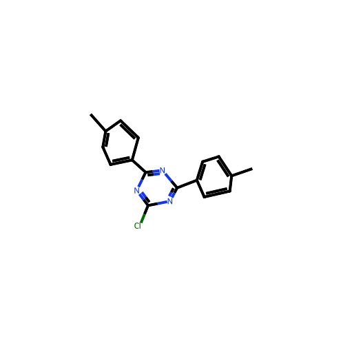 Cc1ccc(-c2nc(Cl)nc(-c3ccc(C)cc3)n2)cc1